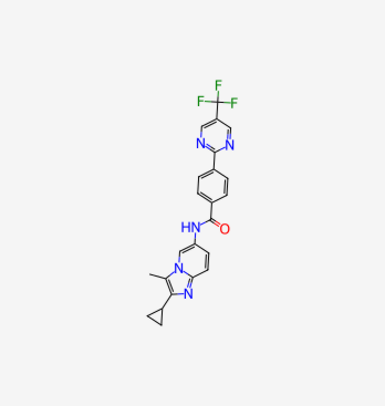 Cc1c(C2CC2)nc2ccc(NC(=O)c3ccc(-c4ncc(C(F)(F)F)cn4)cc3)cn12